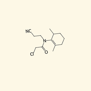 CC1=C(N(CCC#N)C(=O)CCl)C(C)CCC1